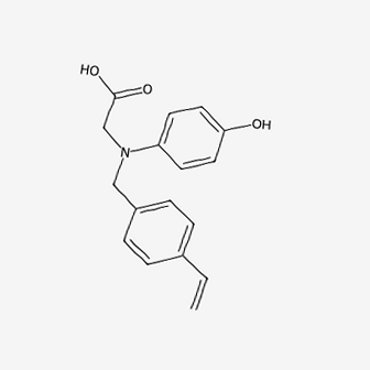 C=Cc1ccc(CN(CC(=O)O)c2ccc(O)cc2)cc1